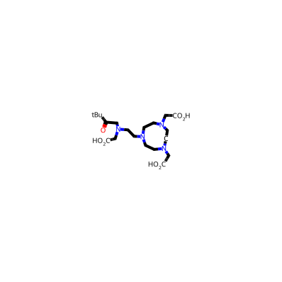 CC(C)(C)C(=O)CN(CCN1CCN(CC(=O)O)CCN(CC(=O)O)CC1)CC(=O)O